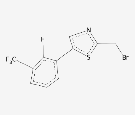 Fc1c(-c2cnc(CBr)s2)cccc1C(F)(F)F